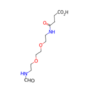 O=CNCCOCCOCCNC(=O)CCC(=O)O